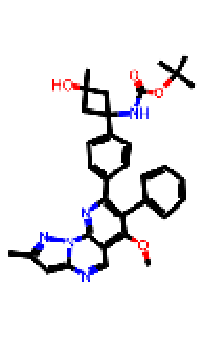 COc1c(-c2ccccc2)c(-c2ccc(C3(NC(=O)OC(C)(C)C)CC(C)(O)C3)cc2)nc2c1cnc1cc(C)nn12